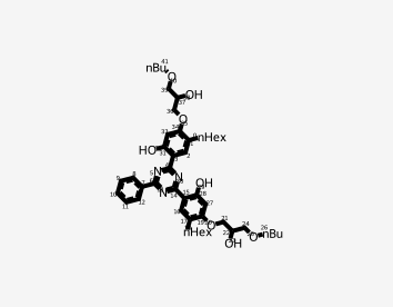 CCCCCCc1cc(-c2nc(-c3ccccc3)nc(-c3cc(CCCCCC)c(OCC(O)COCCCC)cc3O)n2)c(O)cc1OCC(O)COCCCC